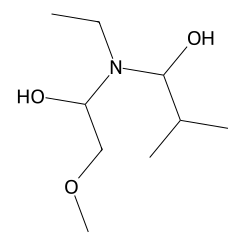 CCN(C(O)COC)C(O)C(C)C